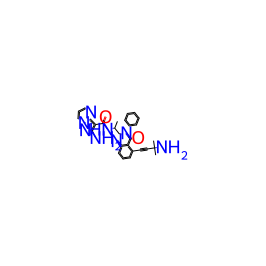 CC(NC(=O)c1c(N)nn2cccnc12)c1nc2cccc(C#CC(C)(C)N)c2c(=O)n1-c1ccccc1